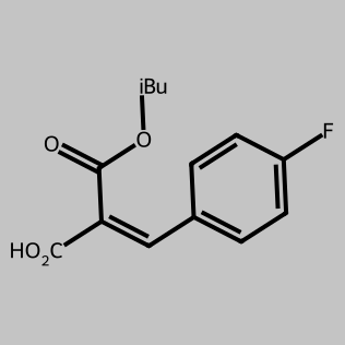 CCC(C)OC(=O)C(=Cc1ccc(F)cc1)C(=O)O